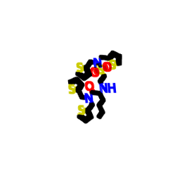 CCCCC(NCCS(=O)(=O)N(Cc1cccs1)Cc1cccs1)C(=O)N(Cc1cccs1)Cc1cccs1